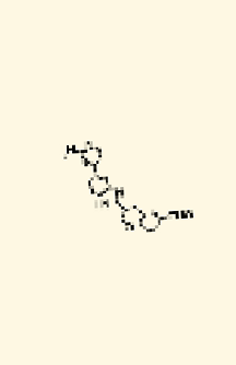 Nc1nccc(-c2ccc3[nH]c(C4COc5ccc(C=O)cc5C4)nc3c2)n1